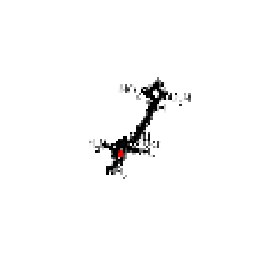 CCCCCCCCN(CCCC(C)[C@H]1CC[C@H]2[C@@H]3[C@H](OCCCN)C[C@@H]4C[C@H](OCCCN)CC[C@]4(C)[C@H]3C[C@H](OCCCN)[C@]12C)C(=O)NCCOCCOCCOCCNC(=O)CN1CCN(CC(=O)O)CCN(CC(C)=O)CCN(CC(=O)O)CC1